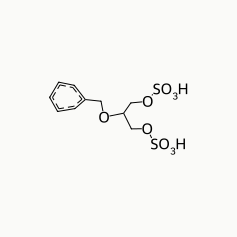 O=S(=O)(O)OCC(COS(=O)(=O)O)OCc1ccccc1